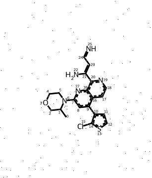 CC1COCCN1c1cc(-c2ccsc2Cl)c2ccnc(/C(N)=C/C=N)c2n1